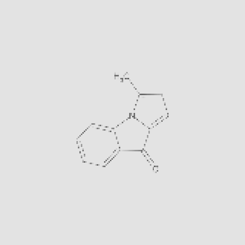 Cc1ccc2n1-c1ccccc1C2=O